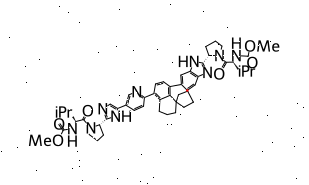 COC(=O)N[C@H](C(=O)N1CCC[C@H]1c1ncc(-c2ccc(-c3ccc(-c4ccc5nc([C@@H]6CCCN6C(=O)[C@@H](NC(=O)OC)C(C)C)[nH]c5c4)c4c3CCCC43CCCC3)nc2)[nH]1)C(C)C